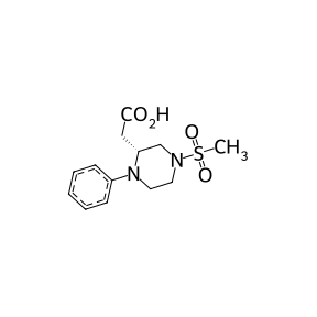 CS(=O)(=O)N1CCN(c2ccccc2)[C@H](CC(=O)O)C1